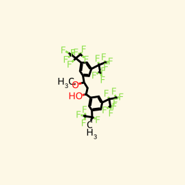 COC(CC(O)c1cc(C(C)(F)C(F)(F)F)cc(C(F)(C(F)(F)F)C(F)(F)F)c1)c1cc(C(F)(C(F)(F)F)C(F)(F)F)cc(C(F)(C(F)(F)F)C(F)(F)F)c1